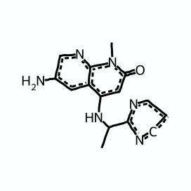 CC(Nc1cc(=O)n(C)c2ncc(N)cc12)c1ncccn1